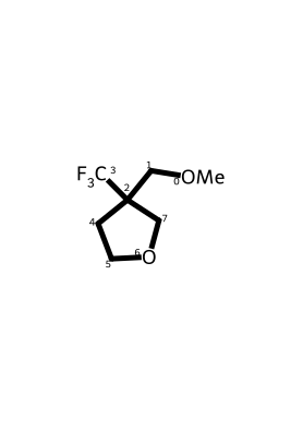 COCC1(C(F)(F)F)CCOC1